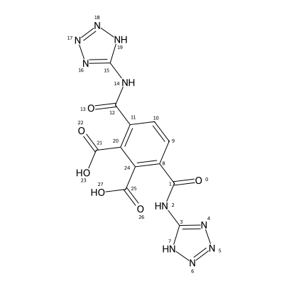 O=C(Nc1nnn[nH]1)c1ccc(C(=O)Nc2nnn[nH]2)c(C(=O)O)c1C(=O)O